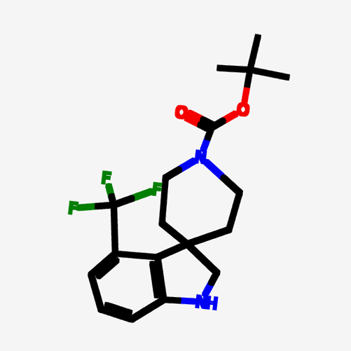 CC(C)(C)OC(=O)N1CCC2(CC1)CNc1cccc(C(F)(F)F)c12